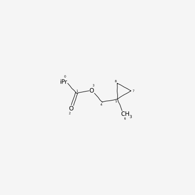 CC(C)C(=O)OCC1(C)CC1